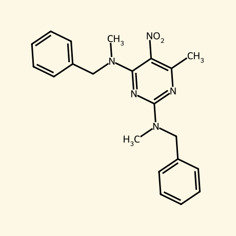 Cc1nc(N(C)Cc2ccccc2)nc(N(C)Cc2ccccc2)c1[N+](=O)[O-]